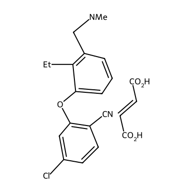 CCc1c(CNC)cccc1Oc1cc(Cl)ccc1C#N.O=C(O)/C=C/C(=O)O